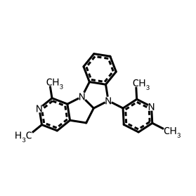 Cc1ccc(N2c3ccccc3N3c4c(cc(C)nc4C)CC23)c(C)n1